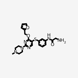 CN1CCN(c2ncc(Sc3cccc(NC(=O)CN)c3)c(OCc3ccco3)n2)CC1